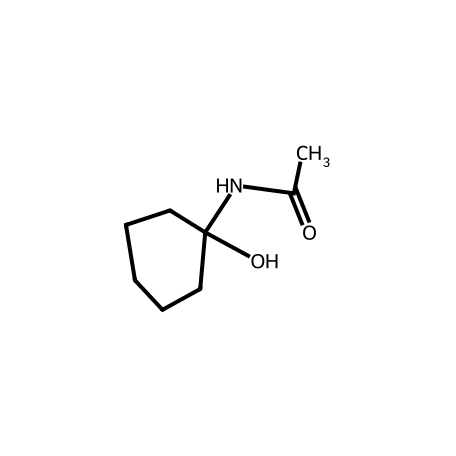 CC(=O)NC1(O)CCCCC1